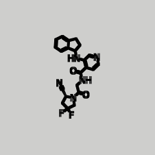 N#C[C@@H]1CC(F)(F)CN1C(=O)CNC(=O)c1ccncc1NC1CCc2ccccc21